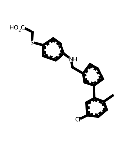 Cc1ccc(Cl)cc1-c1cccc(CNc2ccc(SCC(=O)O)cc2)c1